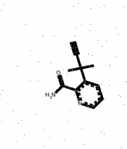 C#CC(C)(C)c1cccnc1C(N)=O